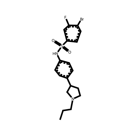 CCCN1CCC(c2ccc(NS(=O)(=O)c3ccc(Br)c(F)c3)cc2)C1